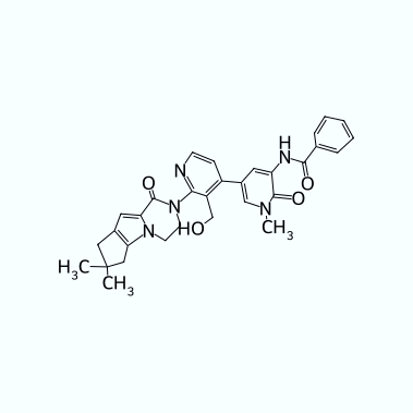 Cn1cc(-c2ccnc(N3CCn4c(cc5c4CC(C)(C)C5)C3=O)c2CO)cc(NC(=O)c2ccccc2)c1=O